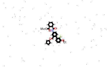 CCOc1cccc(-c2ccc(NC(=O)[C@@H]3CCCC[C@@H]3C(=O)OC)cc2COC2CCCC2)c1F